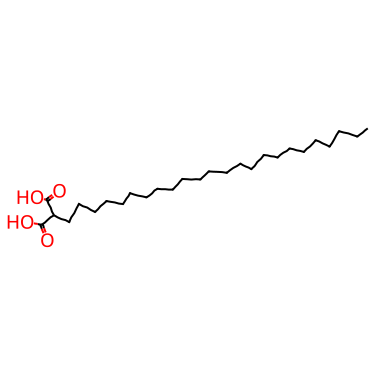 CCCCCCCCCCCCCCCCCCCCCCCCC(C(=O)O)C(=O)O